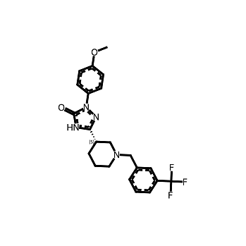 COc1ccc(-n2nc([C@H]3CCCN(Cc4cccc(C(F)(F)F)c4)C3)[nH]c2=O)cc1